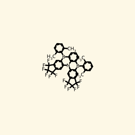 Cc1cccc(C)c1B1c2cc3c(cc2N2c4cc5c(cc4B(c4c(C)cccc4C)c4cccc1c42)C(F)(F)C(F)(F)C5(F)F)C(F)(F)C(F)(F)C3(F)F